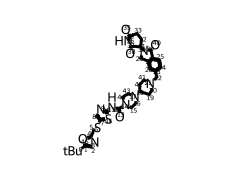 CC(C)(C)c1cnc(CSc2cnc(NC(=O)N3CCN(C4CCN(Cc5ccc6c(c5)CN(C5CCC(=O)NC5=O)C6=O)CC4)CC3)s2)o1